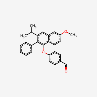 COc1ccc2c(Oc3ccc(C=O)cc3)c(-c3ccccc3)c(C(C)C)cc2c1